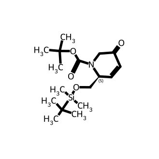 CC(C)(C)OC(=O)N1CC(=O)C=C[C@H]1CO[Si](C)(C)C(C)(C)C